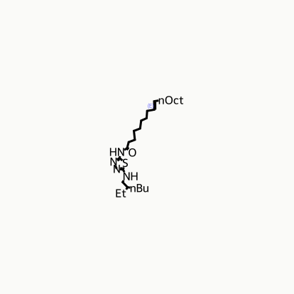 CCCCCCCC/C=C/CCCCCCCC(=O)Nc1nnc(NCC(CC)CCCC)s1